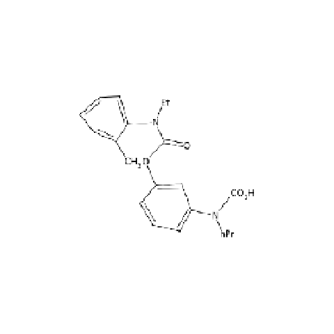 CCCN(C(=O)O)c1cccc(OC(=O)N(CC)c2ccccc2C)c1